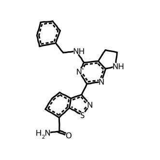 NC(=O)c1cccc2c(-c3nc4c(c(NCc5ccccc5)n3)CCN4)nsc12